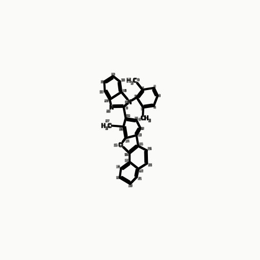 Cc1cccc(C)c1-n1c(-c2ccc3c(oc4c5ccccc5ccc34)c2C)nc2ccccc21